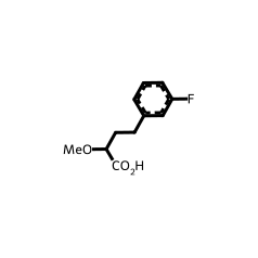 COC(CCc1cccc(F)c1)C(=O)O